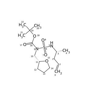 C=CC[C@@H](C)NS(=O)(=O)N(C[C@H]1CCCO1)C(=O)OC(C)(C)C